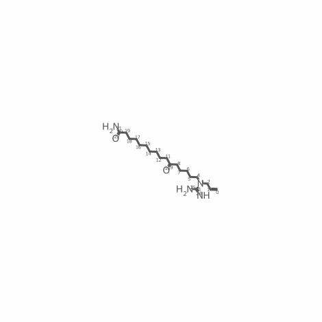 C=CCN(CCCCCC(=O)CCCCCCCCCC(N)=O)C(=N)N